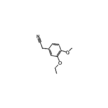 CCOc1cc(CC#N)ccc1OC